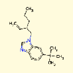 C=CC(CCC)Cn1cnc2ccc(C(C)(C)C)cc21